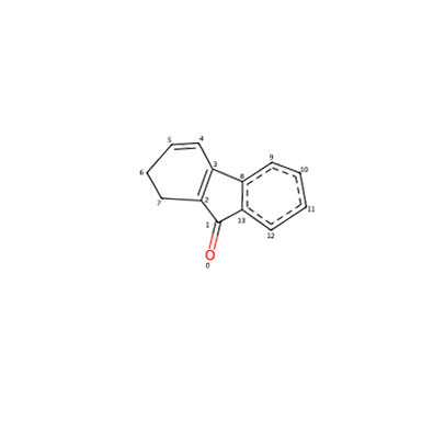 O=C1C2=C(C=CCC2)c2ccccc21